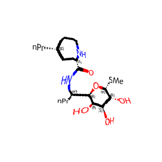 CCC[C@@H]1CCN[C@H](C(=O)N[C@H](CCC)[C@H]2O[C@H](SC)[C@H](O)[C@@H](O)[C@H]2O)C1